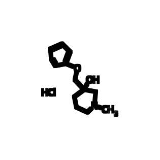 CN1CCCC(O)(COc2ccccc2)C1.Cl